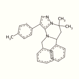 Cc1c[c]c(-c2cnn3c2N(Cc2ccccc2)C(c2ccccc2)CC3(C)C)cc1